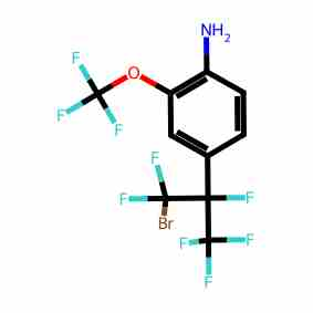 Nc1ccc(C(F)(C(F)(F)F)C(F)(F)Br)cc1OC(F)(F)F